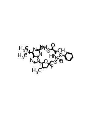 CC(C)OC(=O)[C@@H](C)N[P@](=O)(OC[C@]1(F)C[C@H](C)[C@H](n2cnc3c(N(C)C)nc(N)nc32)O1)Oc1ccccc1